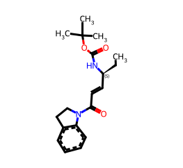 CC[C@@H](C=CC(=O)N1CCc2ccccc21)NC(=O)OC(C)(C)C